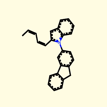 C/C=C\C=C/c1cc2ccccc2n1-c1ccc2c(c1)-c1ccccc1C2